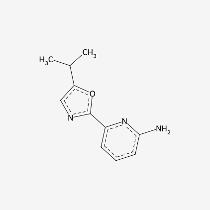 CC(C)c1cnc(-c2cccc(N)n2)o1